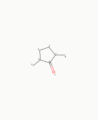 CC1CCC(C)C1=O